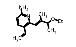 C=Cc1ccc(N)nc1/C=C(\C)C(C)OCC